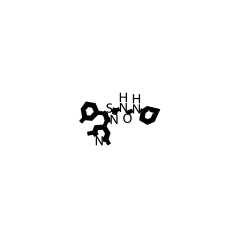 Cc1cccc(-c2sc(NC(=O)Nc3ccccc3)nc2-c2cc(C)nc(C)c2)c1